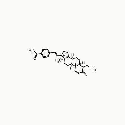 CCN1C(=O)C=C[C@]2(C)[C@H]3CC[C@]4(C)[C@@H](/C=C/c5ccc(C(N)=O)cc5)CC[C@H]4[C@@H]3CC[C@@H]12